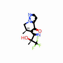 C[C@H]1Cn2nccc2-c2onc([C@@](C)(O)C(F)(F)F)c21